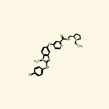 CCN1CCCC1CNC(=O)c1cc(Oc2ccc3c(c2)nc(Nc2ccc(Cl)cc2)n3C)ccn1